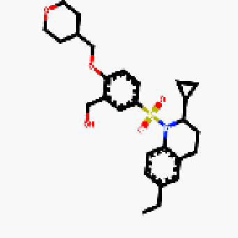 CCc1ccc2c(c1)CCC(C1CC1)N2S(=O)(=O)c1ccc(OCC2CCOCC2)c(CO)c1